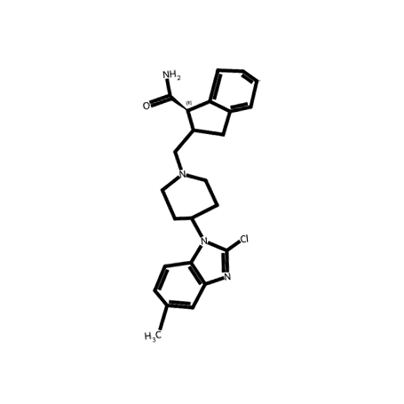 Cc1ccc2c(c1)nc(Cl)n2C1CCN(CC2Cc3c[c]ccc3[C@@H]2C(N)=O)CC1